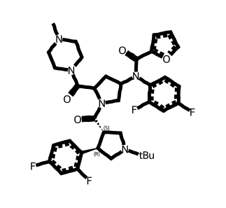 CN1CCN(C(=O)C2CC(N(C(=O)c3ccco3)c3ccc(F)cc3F)CN2C(=O)[C@@H]2CN(C(C)(C)C)C[C@H]2c2ccc(F)cc2F)CC1